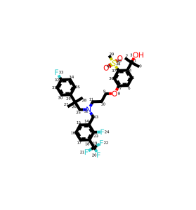 CC(C)(O)c1ccc(OCCCN(Cc2cccc(C(F)(F)F)c2F)CC(C)(C)c2ccc(F)cc2)cc1S(C)(=O)=O